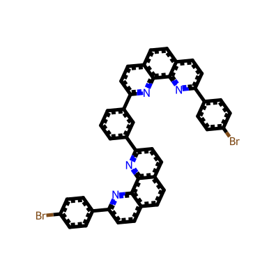 Brc1ccc(-c2ccc3ccc4ccc(-c5cccc(-c6ccc7ccc8ccc(-c9ccc(Br)cc9)nc8c7n6)c5)nc4c3n2)cc1